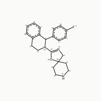 Fc1ccc(C2c3ccccc3CCN2C2=NCC3(CCNCC3)O2)cc1